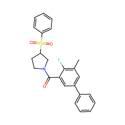 Cc1cc(-c2ccccc2)cc(C(=O)N2CCC(S(=O)(=O)c3ccccc3)C2)c1F